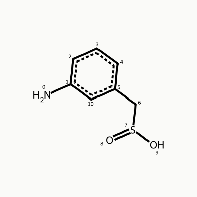 Nc1cccc(CS(=O)O)c1